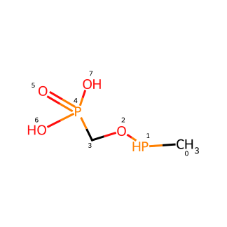 CPOCP(=O)(O)O